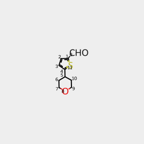 O=Cc1ccc(C2CCOCC2)s1